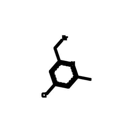 Cc1cc(Cl)cc(CBr)n1